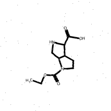 CCOC(=O)N1CCC2C(C(=O)O)NCC21